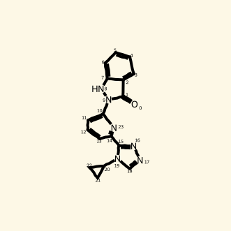 O=c1c2ccccc2[nH]n1-c1cccc(-c2nncn2C2CC2)n1